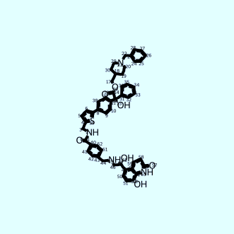 O=C(NCc1ccc(-c2ccc([C@](O)(C(=O)OCC3CCN(Cc4ccccc4)CC3)c3ccccc3)cc2)s1)c1ccc(CNC[C@H](O)c2ccc(O)c3[nH]c(=O)ccc23)cc1